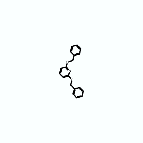 c1ccc(COc2cccc(OCc3ccccc3)n2)cc1